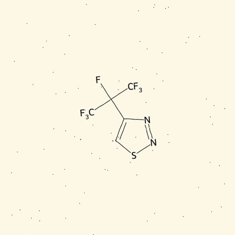 FC(F)(F)C(F)(c1[c]snn1)C(F)(F)F